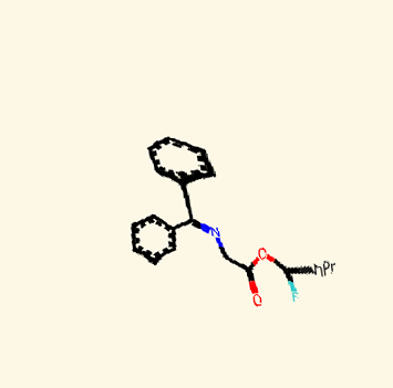 CCCC(F)OC(=O)CN=C(c1ccccc1)c1ccccc1